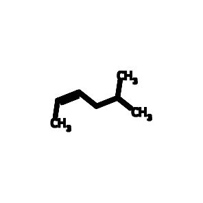 C/C=C\CC(C)C